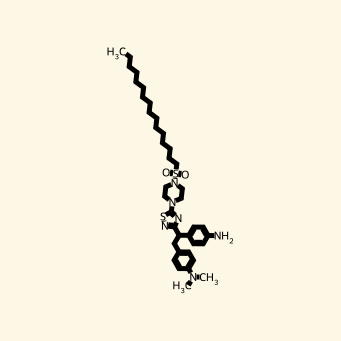 CCCCCCCCCCCCCCCCS(=O)(=O)N1CCN(c2nc(C(Cc3ccc(N(C)C)cc3)c3ccc(N)cc3)ns2)CC1